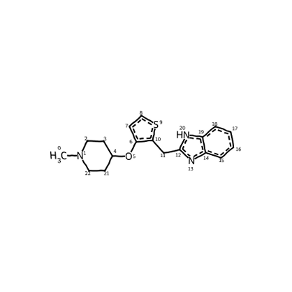 CN1CCC(Oc2ccsc2Cc2nc3ccccc3[nH]2)CC1